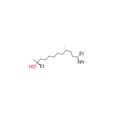 CCC[C@H](CC)CC[C@@H](C)CCCCCC[C@@](C)(O)CC